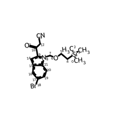 C[Si](C)(C)CCOCn1c(C(=O)CC#N)cc2cc(Br)ccc21